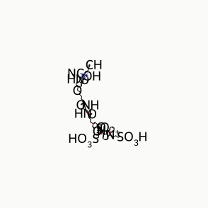 C#CCC/C(O)=C(\C#N)C(=O)Nc1ccc(OCCCCCC(=O)NCCNC(=O)CCCc2ccc(S(=O)(=O)N(CCCS(=O)(=O)O)C(=O)c3c4ccccc4[n+](CCCS(=O)(=O)O)c4ccccc34)cc2)cc1